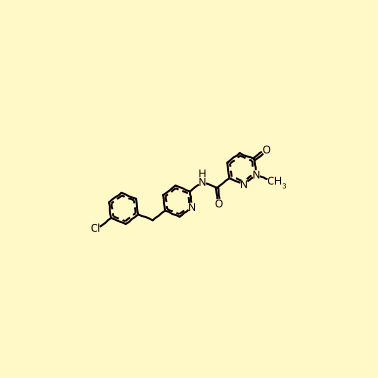 Cn1nc(C(=O)Nc2ccc(Cc3cccc(Cl)c3)cn2)ccc1=O